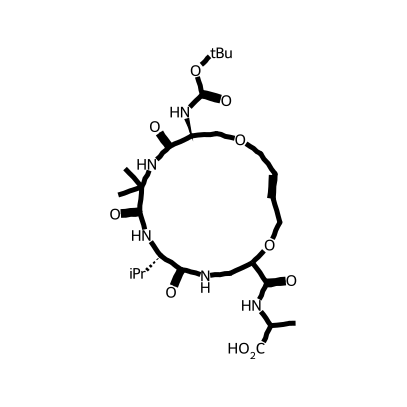 CC(NC(=O)C1CNC(=O)[C@H](C(C)C)NC(=O)C(C)(C)NC(=O)[C@@H](NC(=O)OC(C)(C)C)COC/C=C/CO1)C(=O)O